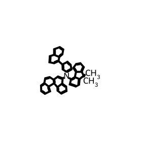 CC1(C)c2ccccc2-c2c(N(c3cccc(-c4cccc5ccccc45)c3)c3cc4ccc5ccccc5c4c4ccccc34)cccc21